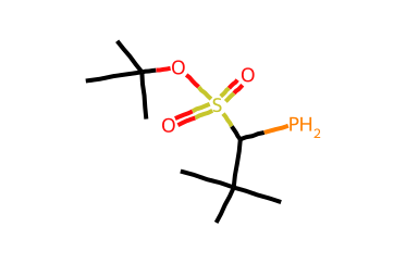 CC(C)(C)OS(=O)(=O)C(P)C(C)(C)C